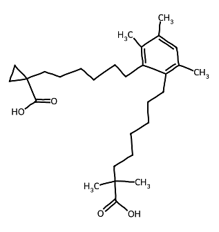 Cc1cc(C)c(CCCCCCC(C)(C)C(=O)O)c(CCCCCCC2(C(=O)O)CC2)c1C